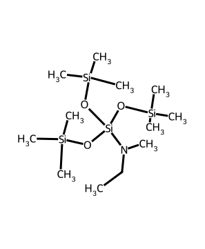 CCN(C)[Si](O[Si](C)(C)C)(O[Si](C)(C)C)O[Si](C)(C)C